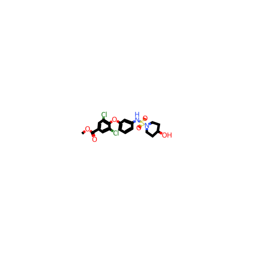 COC(=O)c1cc(Cl)c(Oc2cccc(NS(=O)(=O)N3CCC(O)CC3)c2)c(Cl)c1